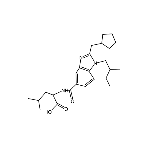 CCC(C)Cn1c(CC2CCCC2)nc2cc(C(=O)NC(CC(C)C)C(=O)O)ccc21